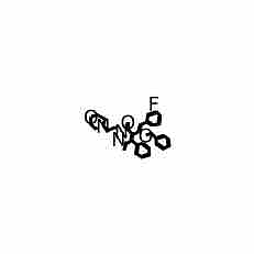 Cc1nn(CCN2CCOCC2)c(=O)c(C=Cc2cccc(F)c2)c1-c1ccccc1OCc1ccccc1